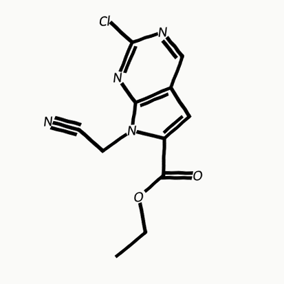 CCOC(=O)c1cc2cnc(Cl)nc2n1CC#N